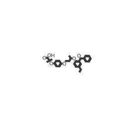 CCc1ccc(OC(C)CCOc2ccc(OC(C)(C)C(=O)O)cc2)c(C(=O)c2ccccc2)c1